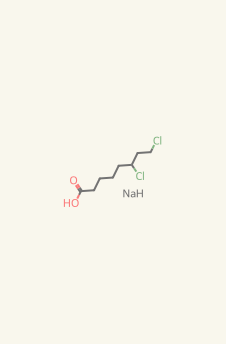 O=C(O)CCCCC(Cl)CCCl.[NaH]